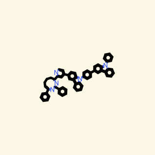 C1=C(c2ccccc2)/N=C(c2ccccc2)\N=C(\c2cc(-c3ccc4c(c3)c3ccccc3n4-c3ccc(-c4ccc5c(c4)c4ccccc4n5-c4ccccc4)cc3)ccn2)CCC\1